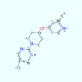 CCc1cnc(N2CCC(Oc3cc[nH]c(=S)c3)CC2)nc1